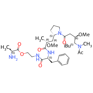 CC[C@H](C)C([C@@H](CC(=O)N1CCC[C@H]1[C@H](OC)[C@@H](C)C(=O)N[C@@H](Cc1ccccc1)C(=O)NCCOC(=O)[C@H](C)N)OC)N(C)C(C)=O